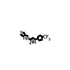 Cn1nc(-c2ccc(C(F)(F)F)cc2)cc1NCc1ccsc1